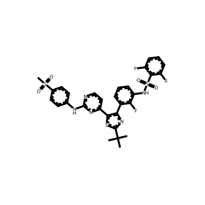 CC(C)(C)c1nc(-c2cccc(NS(=O)(=O)c3c(F)cccc3F)c2F)c(-c2ccnc(Nc3ccc(S(C)(=O)=O)cc3)n2)s1